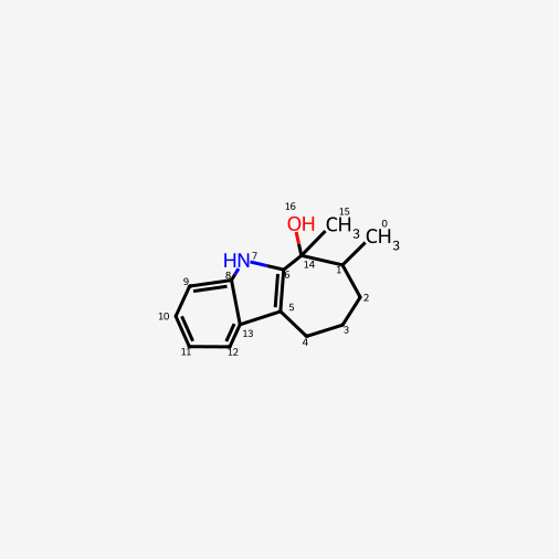 CC1CCCc2c([nH]c3ccccc23)C1(C)O